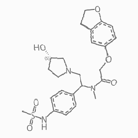 CN(C(=O)COc1ccc2c(c1)CCO2)C(CN1CC[C@H](O)C1)c1ccc(NS(C)(=O)=O)cc1